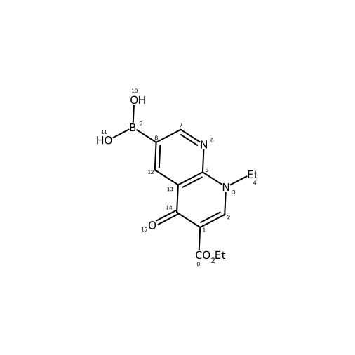 CCOC(=O)c1cn(CC)c2ncc(B(O)O)cc2c1=O